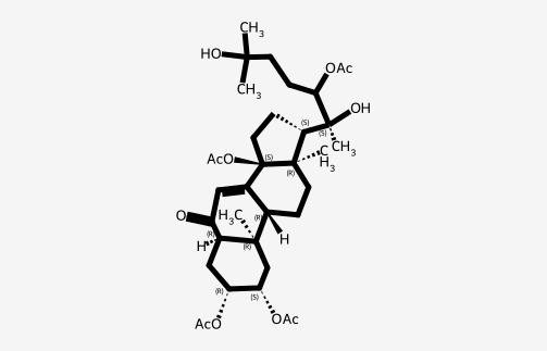 CC(=O)OC(CCC(C)(C)O)[C@@](C)(O)[C@H]1CC[C@@]2(OC(C)=O)C3=CC(=O)[C@@H]4C[C@@H](OC(C)=O)[C@@H](OC(C)=O)C[C@]4(C)[C@H]3CC[C@]12C